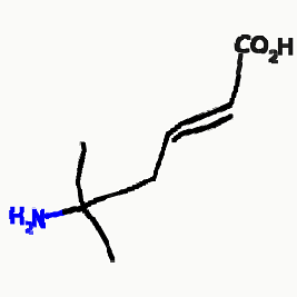 CC(C)(N)CC=CC(=O)O